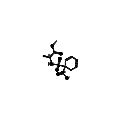 COC(=O)[C@H](C)NS(=O)(=O)C1([N+](=O)[O-])C=CC=CC1